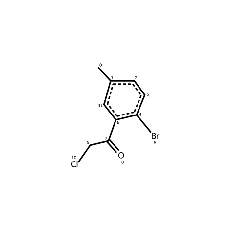 Cc1ccc(Br)c(C(=O)CCl)c1